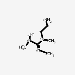 CN=C(N(C)CCN)N(C)C(C)C